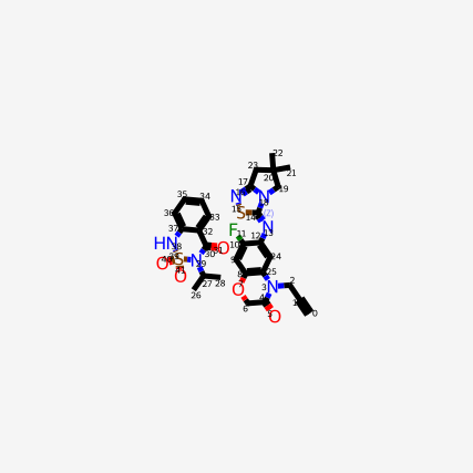 C#CCN1C(=O)COc2cc(F)c(/N=c3\snc4n3CC(C)(C)C4)cc21.CC(C)N1C(=O)c2ccccc2NS1(=O)=O